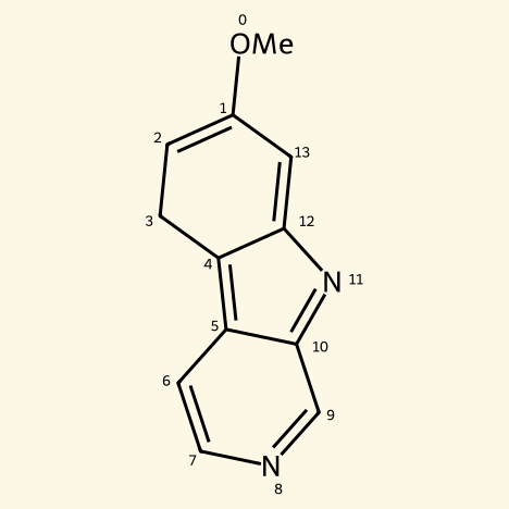 COC1=CCC2=c3ccncc3=NC2=C1